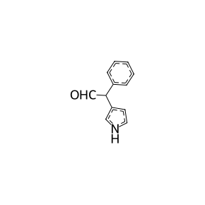 O=CC(c1ccccc1)c1cc[nH]c1